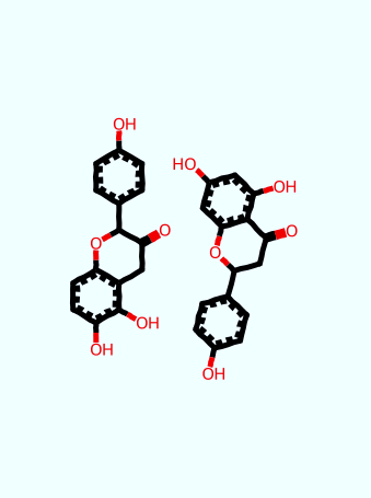 O=C1CC(c2ccc(O)cc2)Oc2cc(O)cc(O)c21.O=C1Cc2c(ccc(O)c2O)OC1c1ccc(O)cc1